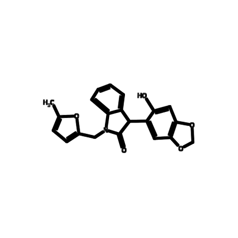 Cc1ccc(CN2C(=O)C(c3cc4c(cc3O)OCO4)c3ccccc32)o1